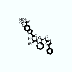 CCN(C(=O)[C@@H]1CCCCCN1C(=O)C(NC(=O)c1cc2cc(C(F)(F)P(=O)(O)O)ccc2s1)C(C)(C)C)c1ncc(-c2ccccc2)s1